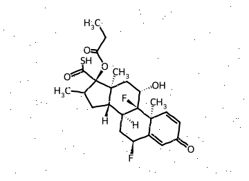 CCC(=O)O[C@]1(C(=O)S)C(C)C[C@H]2[C@@H]3C[C@H](F)C4=CC(=O)C=C[C@]4(C)[C@@]3(F)[C@@H](O)C[C@@]21C